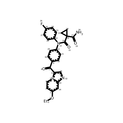 CCOc1ccn2c(C(=O)c3ccc(N(C(=O)C4(C(N)=O)CC4)c4ccc(F)cc4)cc3)cnc2c1